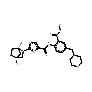 CCCNC(=O)c1cc(CN2CCOCC2)ccc1NC(=O)c1csc(N2C[C@@H]3C[C@H]2CO3)n1